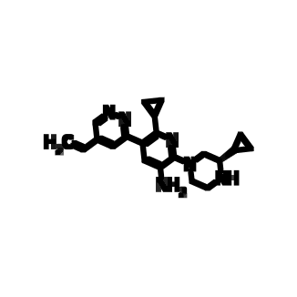 C=Cc1cnnc(-c2cc(N)c(N3CCN[C@H](C4CC4)C3)nc2C2CC2)c1